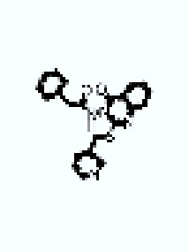 O=C(Cc1ccccc1)Nn1c(SCc2cccnc2)nc2ccccc2c1=O